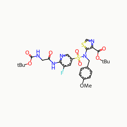 COc1ccc(CN(c2scnc2C(=O)OC(C)(C)C)S(=O)(=O)c2cnc(NC(=O)CNC(=O)OC(C)(C)C)c(F)c2)cc1